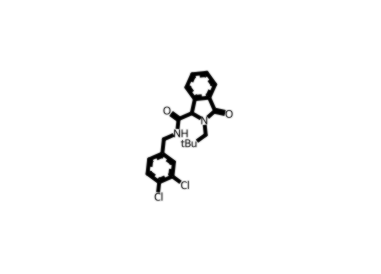 CC(C)(C)CN1C(=O)c2ccccc2C1C(=O)NCc1ccc(Cl)c(Cl)c1